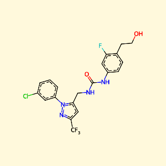 O=C(NCc1cc(C(F)(F)F)nn1-c1cccc(Cl)c1)Nc1ccc(CCO)c(F)c1